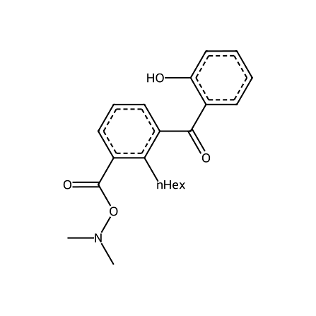 CCCCCCc1c(C(=O)ON(C)C)cccc1C(=O)c1ccccc1O